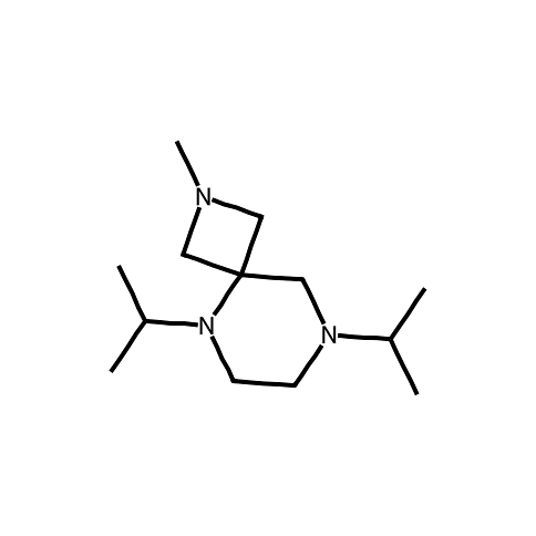 CC(C)N1CCN(C(C)C)C2(CN(C)C2)C1